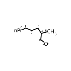 CCCCCCC(C)C[O]